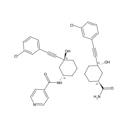 NC(=O)[C@H]1CCC[C@@](O)(C#Cc2cccc(Cl)c2)C1.O=C(N[C@H]1CCC[C@@](O)(C#Cc2cccc(Cl)c2)C1)c1ccncc1